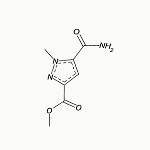 COC(=O)c1cc(C(N)=O)n(C)n1